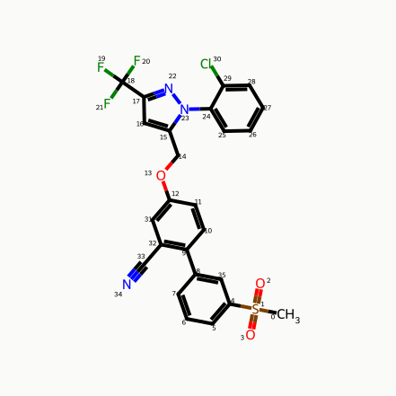 CS(=O)(=O)c1cccc(-c2ccc(OCc3cc(C(F)(F)F)nn3-c3ccccc3Cl)cc2C#N)c1